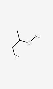 CC(C)CC(C)ON=O